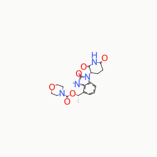 C[C@H](OC(=O)N1CCOCC1)c1cccc2c1n(C)c(=O)n2C1CCC(=O)NC1=O